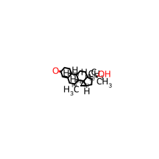 C[C@@H]1CC2=CC(=O)CC[C@@H]2[C@H]2CC[C@]3(C)[C@H](C(C)(C)O)C[C@H]4C[C@]43[C@@H]21